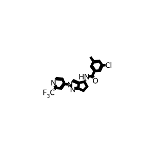 Cc1cc(Cl)cc(C(=O)N[C@H]2CCc3nn(-c4ccnc(C(F)(F)F)c4)cc32)c1